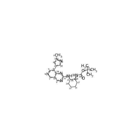 Cn1cc(-c2cncc3cnc(N[C@@H]4CCCC[C@@H]4NC(=O)OC(C)(C)C)nc23)cn1